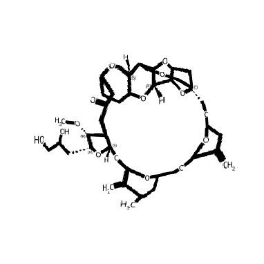 C=C1CC2CC[C@@]34CC5OC6C(O3)[C@H]3OC(CCC3O[C@H]6C5O4)CC(=O)CC3[C@H](CC4OC(CCC1O2)CC(C)C4=C)O[C@H](CC(O)CO)[C@@H]3OC